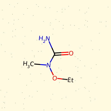 CCON(C)C(N)=O